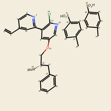 C=Cc1ccnc(-c2cc(OC[C@H](Cc3ccccc3)NC)cnc2Cl)c1.Cc1ccc(S(=O)(=O)O)cc1.Cc1ccc(S(=O)(=O)O)cc1